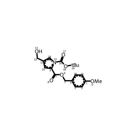 COc1ccc(COC(=O)c2cc(CO)cn2C(=O)OC(C)(C)C)cc1